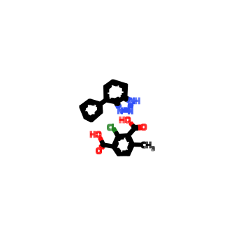 Cc1ccc(C(=O)O)c(Cl)c1C(=O)O.c1ccc(-c2cccc3[nH]nnc23)cc1